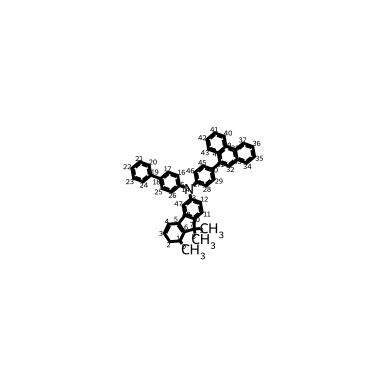 CC1CC=CC2=C1C(C)(C)c1ccc(N(c3ccc(-c4ccccc4)cc3)c3ccc(-c4cc5ccccc5c5ccccc45)cc3)cc12